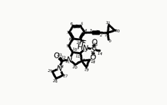 CC1(C#Cc2cccc(CC3C(NS(C)(=O)=O)C4(CC4)CN3C(=O)N3CCC3)c2F)CC1